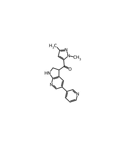 Cc1cc(C(=O)C2CNc3ncc(-c4cccnc4)cc32)n(C)n1